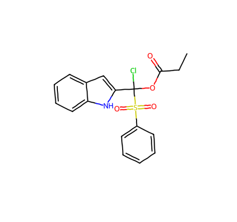 CCC(=O)OC(Cl)(c1cc2ccccc2[nH]1)S(=O)(=O)c1ccccc1